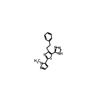 Cn1nccc1-c1nc(CCc2ccccc2)c(-c2nnc[nH]2)s1